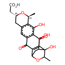 CC1OC2CC(CO)C1(O)C1=C2C(=O)c2cc3c(c(O)c2C1=O)[C@H](C)O[C@@H](CC(=O)O)C3